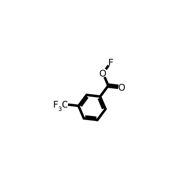 O=C(OF)c1cccc(C(F)(F)F)c1